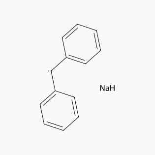 [CH](c1ccccc1)c1ccccc1.[NaH]